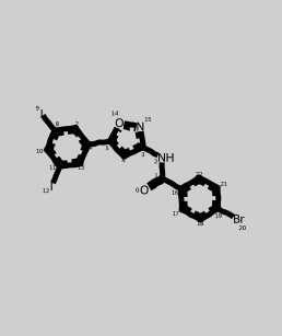 O=C(Nc1cc(-c2cc(I)cc(I)c2)on1)c1ccc(Br)cc1